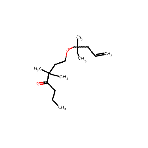 C=CCC(C)(C)OCCC(C)(C)C(=O)CCC